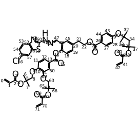 C=CC(=O)OC(C)(C)COc1ccc(C(=O)Oc2ccc(CCOC(=O)c3ccc(OC(C)(C)CC(C)(C)OC(=O)C=C)cc3)cc2/C=N/Nc2nc3ccc(Cl)cc3s2)cc1OCC(C)(C)OC(=O)C=C